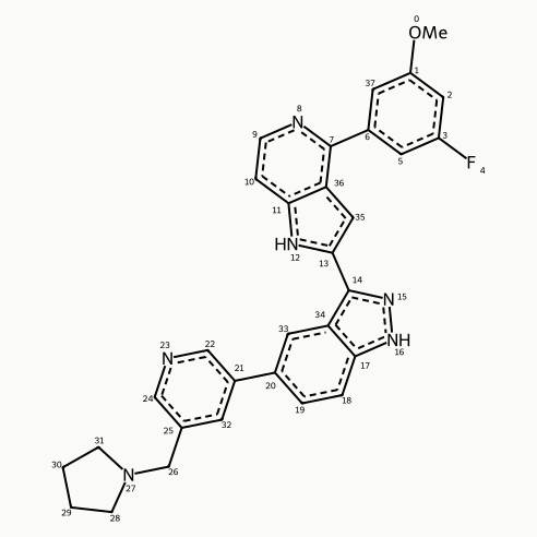 COc1cc(F)cc(-c2nccc3[nH]c(-c4n[nH]c5ccc(-c6cncc(CN7CCCC7)c6)cc45)cc23)c1